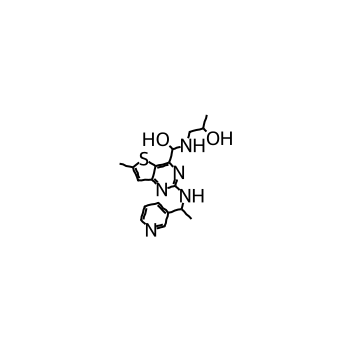 Cc1cc2nc(NC(C)c3cccnc3)nc(C(O)NCC(C)O)c2s1